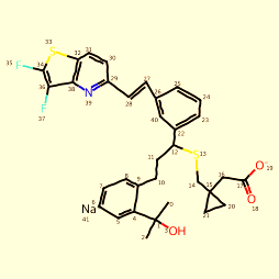 CC(C)(O)c1ccccc1CCC(SCC1(CC(=O)[O-])CC1)c1cccc(/C=C/c2ccc3sc(F)c(F)c3n2)c1.[Na+]